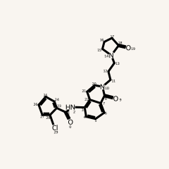 O=C(Nc1cccc2c(=O)n(CCCN3CCCC3=O)ccc12)c1ccccc1Cl